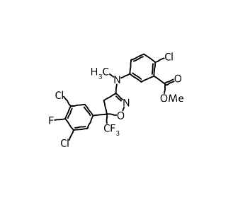 COC(=O)c1cc(N(C)C2=NOC(c3cc(Cl)c(F)c(Cl)c3)(C(F)(F)F)C2)ccc1Cl